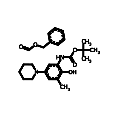 Cc1cc(N2CCCCC2)cc(NC(=O)OC(C)(C)C)c1O.O=COCc1ccccc1